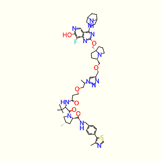 Cc1ncsc1-c1ccc(CNC(=O)[C@H]2C[C@H](C)CN2C(=O)[C@H](NC(=O)CCOCC(C)n2cc(COC[C@H]3CC[C@@]4(COc5nc(N6CC7CCC(C6)N7)c6cnc(O)c(F)c6n5)CCCN34)nn2)C(C)(C)C)cc1